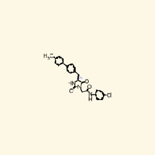 Cc1ccc(-c2ccc(/C=C3\NC(=O)N(CC(=O)Nc4ccc(Cl)cc4)C3=O)cc2)cc1